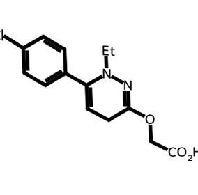 CCN1N=C(OCC(=O)O)CC=C1c1ccc(Cl)cc1